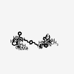 CN[C@@H](C)C(=O)NC1CCCC[C@H]2CC[C@@H](C(=O)N[C@@H](c3ccccc3)c3cn(CCCCc4ccc(CCCCn5cc([C@@H](NC(=O)[C@@H]6CCC7CCCC[C@H](NC(=O)[C@H](C)NC)C(=O)N76)c6ccccc6)nn5)cc4)nn3)N2C1=O